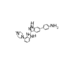 CN1CCN(c2cccc3[nH]c(-c4n[nH]c5cc(-c6ccc(N)cc6)ccc45)nc23)CC1